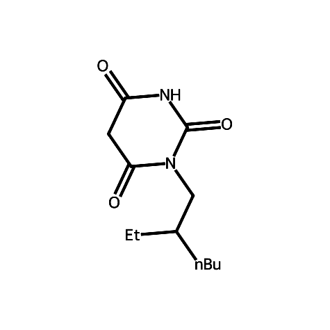 CCCCC(CC)CN1C(=O)CC(=O)NC1=O